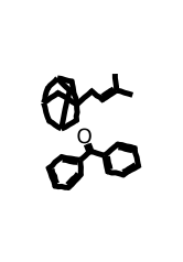 CC(C)=CCC12CC3CC(CC(C3)C1)C2.O=C(c1ccccc1)c1ccccc1